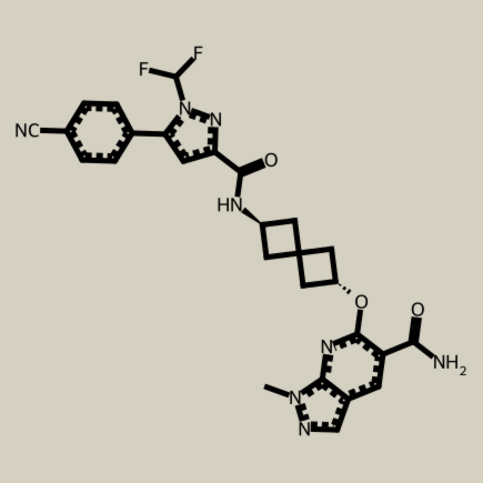 Cn1ncc2cc(C(N)=O)c(O[C@H]3CC4(C[C@H](NC(=O)c5cc(-c6ccc(C#N)cc6)n(C(F)F)n5)C4)C3)nc21